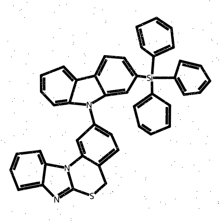 c1ccc([Si](c2ccccc2)(c2ccccc2)c2ccc3c4ccccc4n(-c4ccc5c(c4)-n4c(nc6ccccc64)SC5)c3c2)cc1